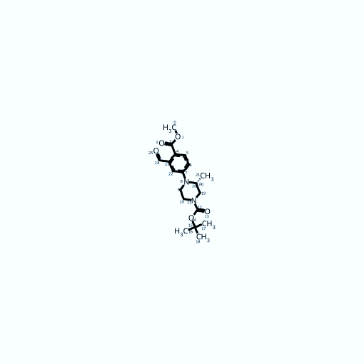 COC(=O)c1ccc(N2CCN(C(=O)OC(C)(C)C)C[C@H]2C)cc1C=O